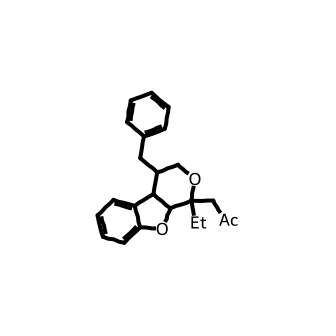 CCC1(CC(C)=O)OCC(Cc2ccccc2)C2c3ccccc3OC21